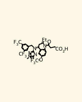 CC[C@@H]1C[C@H](N(Cc2cc(C(F)(F)F)cc(C(F)(F)F)c2)c2nnn(C)n2)c2cc(OC(F)(F)F)ccc2N1C(=O)CCC(=O)O